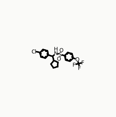 O=S(=O)(NC(c1ccc(Cl)cc1)C1CCCC1)c1ccc(OC(F)(F)F)cc1